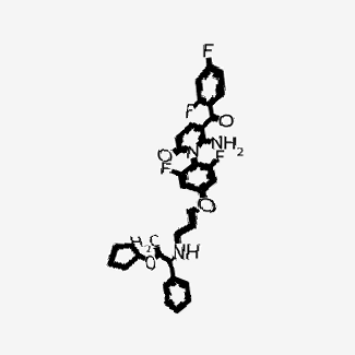 C=C(OC1CCCC1)[C@@H](NCCCOc1cc(F)c(-n2c(N)c(C(=O)c3ccc(F)cc3F)ccc2=O)c(F)c1)c1ccccc1